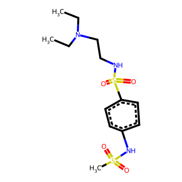 CCN(CC)CCNS(=O)(=O)c1ccc(NS(C)(=O)=O)cc1